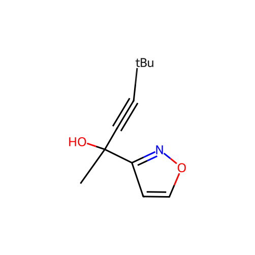 CC(C)(C)C#CC(C)(O)c1ccon1